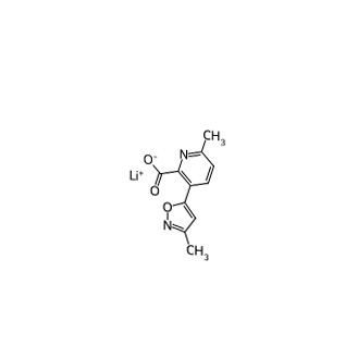 Cc1cc(-c2ccc(C)nc2C(=O)[O-])on1.[Li+]